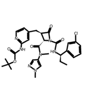 CC[C@@H](NC(=O)N1C(=O)[C@H](Cc2ccnc(NC(=O)OC(C)(C)C)c2)[C@H]1C(=O)N(C)c1cnn(C)c1)c1cccc(Cl)c1